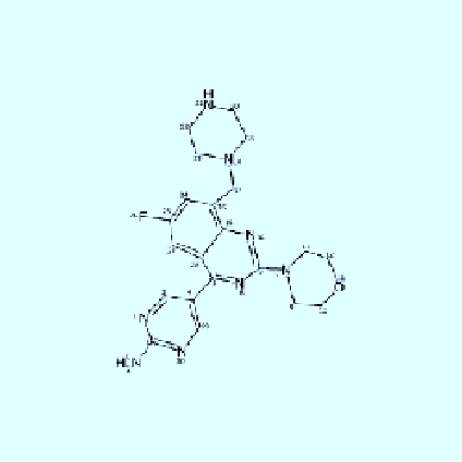 Nc1ncc(-c2nc(N3CCOCC3)nc3c(CN4CCNCC4)cc(F)cc23)cn1